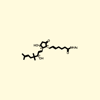 CC(=O)NC(=O)CCCC=CC[C@H]1C(=O)C[C@@H](O)[C@@H]1C=C[C@H](O)C(C)(C)CC=C(C)C